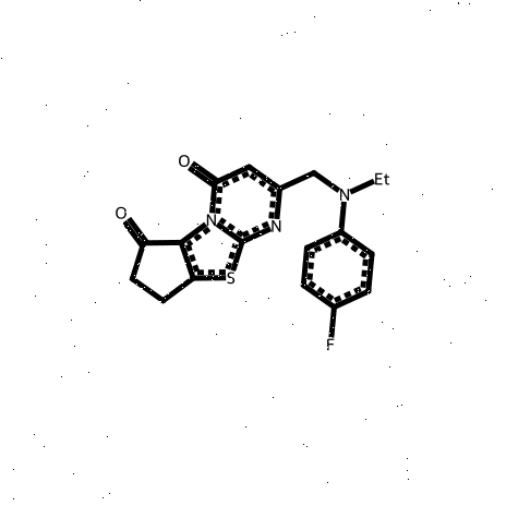 CCN(Cc1cc(=O)n2c3c(sc2n1)CCC3=O)c1ccc(F)cc1